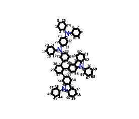 c1ccc(N(c2ccccc2)c2ccc(N(c3ccccc3)c3cccc(-c4cccc(-c5ccc6c7ccccc7n(-c7ccccc7)c6c5)c4-c4ccc5c(c4)c4ccccc4n5-c4ccccc4)c3)cc2)cc1